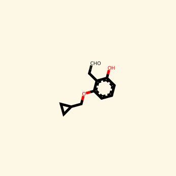 O=CCc1c(O)cccc1OCC1CC1